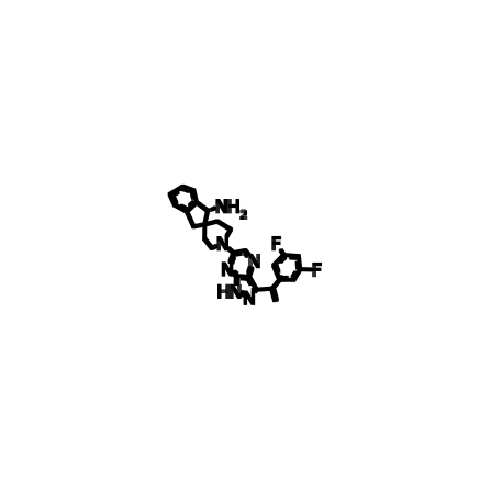 C=C(c1cc(F)cc(F)c1)c1n[nH]c2nc(N3CCC4(CC3)Cc3ccccc3[C@H]4N)cnc12